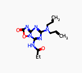 C=CCN(CC=C)c1nc(NC(=O)CC)n2oc(=O)nc2n1